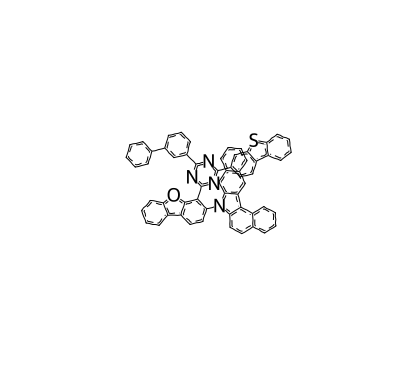 c1ccc(-c2cccc(-c3nc(-c4ccc5c(c4)sc4ccccc45)nc(-c4c(-n5c6cc7ccccc7cc6c6c7ccccc7ccc65)ccc5c4oc4ccccc45)n3)c2)cc1